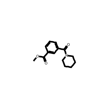 COC(=O)c1cccc(C(=O)N2CCCCC2)c1